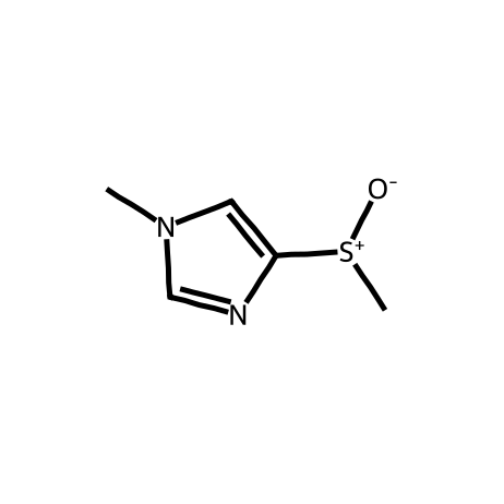 Cn1cnc([S+](C)[O-])c1